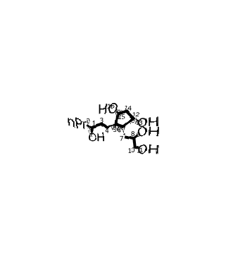 CCC[C@H](O)CC[C@@H]1[C@@H](CC(O)CO)[C@@H](O)C[C@H]1O